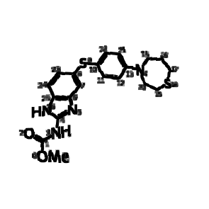 COC(=O)Nc1nc2cc(Sc3ccc(N4CCCSCC4)cc3)ccc2[nH]1